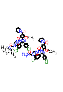 CCOc1cc(C(=O)N2CCCCC2)ccc1C1=N[C@@H](c2ccc(Cl)cc2)[C@@H](c2ccc(Cl)cc2)N1C(=O)N1CCN(CC(=O)N(C)C(C)C)CC1.CCOc1cc(C(=O)N2CCCCC2)ccc1C1=N[C@@H](c2ccc(Cl)cc2)[C@@H](c2ccc(Cl)cc2)N1C(=O)N1CCN(CC(N)=O)CC1